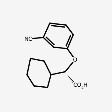 N#Cc1cccc(O[C@H](C(=O)O)C2CCCCC2)c1